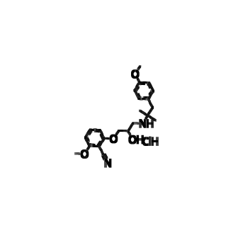 COc1ccc(CC(C)(C)NCC(O)COc2cccc(OC)c2C#N)cc1.Cl